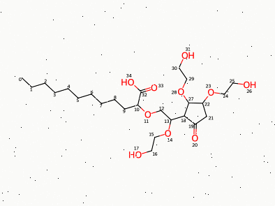 CCCCCCCCCCC(OCC(OCCO)C1C(=O)CC(OCCO)C1OCCO)C(=O)O